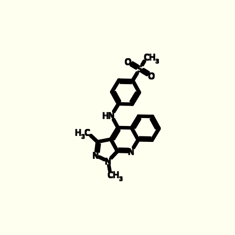 Cc1nn(C)c2nc3ccccc3c(Nc3ccc(S(C)(=O)=O)cc3)c12